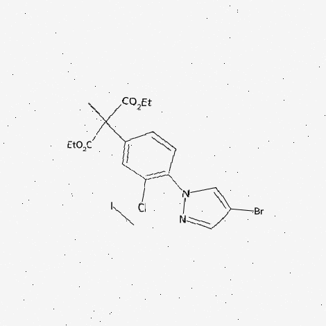 CCOC(=O)C(C)(C(=O)OCC)c1ccc(-n2cc(Br)cn2)c(Cl)c1.CI